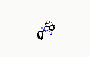 CC[C@@H](NC(N)c1ccccc1)C1C=CC=CC1